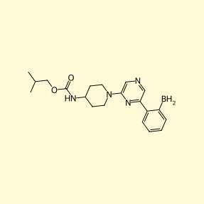 Bc1ccccc1-c1cncc(N2CCC(NC(=O)OCC(C)C)CC2)n1